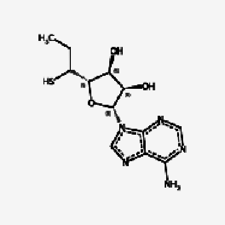 CCC(S)[C@H]1O[C@@H](n2cnc3c(N)ncnc32)[C@H](O)[C@@H]1O